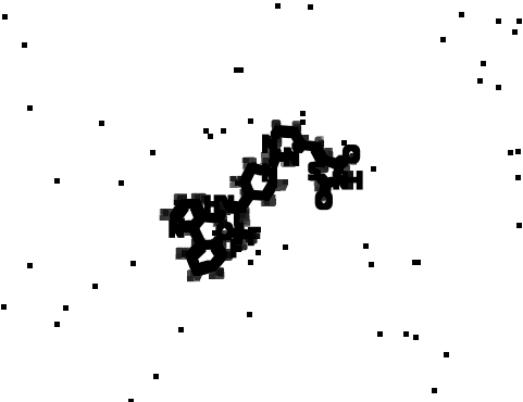 O=C1NC(=O)C(=Cc2ccnc(N3CCC(CNCc4cccnc4-c4ccccc4OC(F)(F)F)CC3)n2)S1